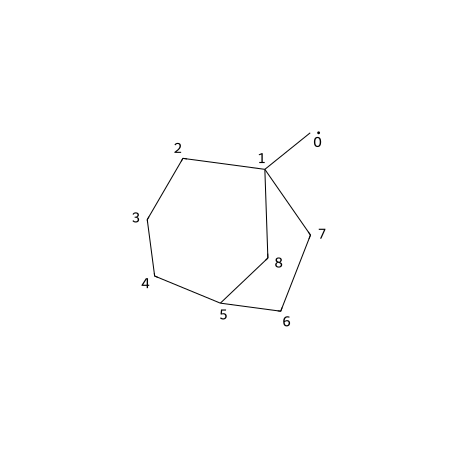 [CH2]C12CCCC(CC1)C2